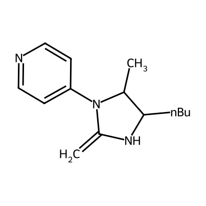 C=C1NC(CCCC)C(C)N1c1ccncc1